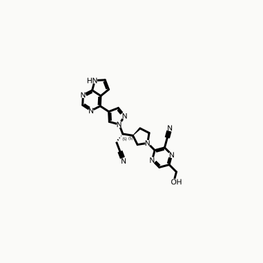 N#CC[C@@H]([C@H]1CCN(c2ncc(CO)nc2C#N)C1)n1cc(-c2ncnc3[nH]ccc23)cn1